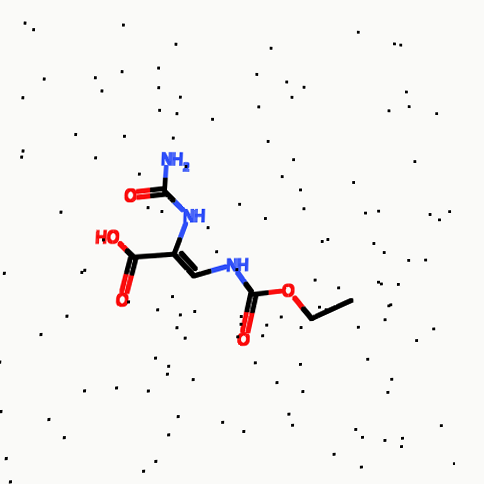 CCOC(=O)NC=C(NC(N)=O)C(=O)O